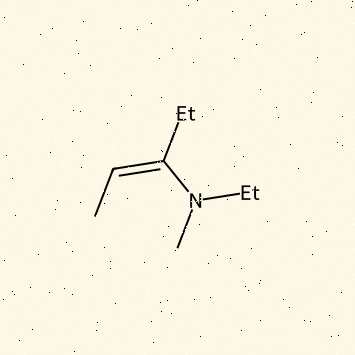 C/C=C(/CC)N(C)CC